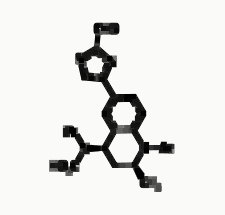 CC(=O)N1c2ccc(-c3csc(C=O)n3)cc2[C@H](N(C(=O)O)C(C)C)C[C@@H]1C